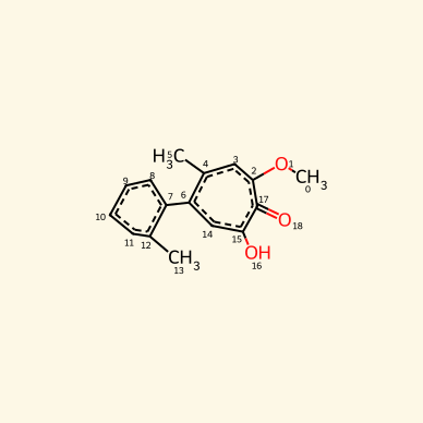 COc1cc(C)c(-c2ccccc2C)cc(O)c1=O